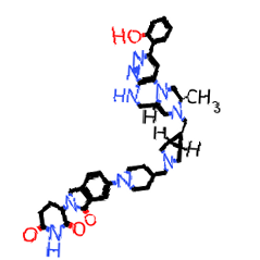 C[C@H]1CN2c3cc(-c4ccccc4O)nnc3NC[C@H]2CN1C[C@H]1[C@@H]2CN(CC3CCN(c4ccc5c(c4)C(=O)N(C4CCC(=O)NC4=O)C5)CC3)C[C@@H]21